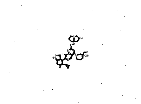 Cc1cc2[nH]ncc2c(-c2ncc3c(N4CCC[C@](O)(CF)C4)nc(OC[C@@]45CCCN4C[C@H](F)C5)nc3c2F)c1C1CC1